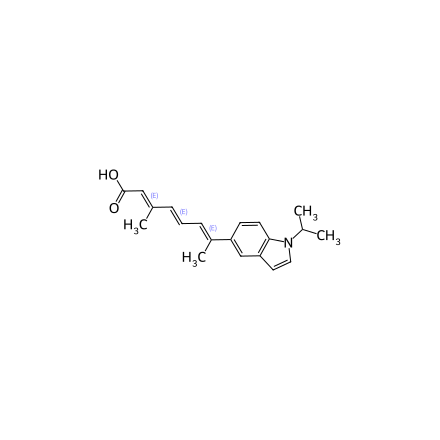 CC(/C=C/C=C(\C)c1ccc2c(ccn2C(C)C)c1)=C\C(=O)O